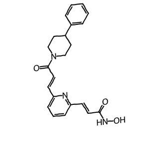 O=C(C=Cc1cccc(C=CC(=O)N2CCC(c3ccccc3)CC2)n1)NO